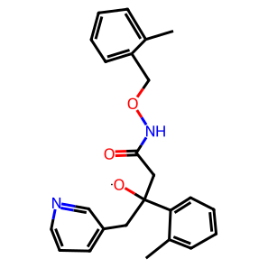 Cc1ccccc1CONC(=O)CC([O])(Cc1cccnc1)c1ccccc1C